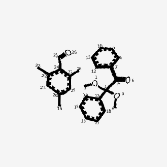 COC(OC)(C(=O)c1ccccc1)c1ccccc1.Cc1cc(C)c([C]=O)c(C)c1